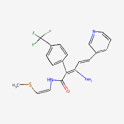 CS/C=C\NC(=O)/C(=C(N)/C=C/c1cccnc1)c1ccc(C(F)(F)F)cc1